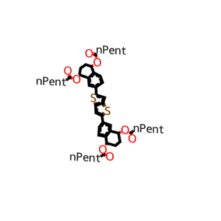 CCCCCC(=O)OC1CCC(OC(=O)CCCCC)c2cc(-c3cc4sc(-c5ccc6c(c5)C(OC(=O)CCCCC)CCC6OC(=O)CCCCC)cc4s3)ccc21